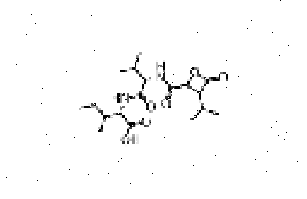 CC[C@H](C)[C@H](NC(=O)[C@@H](NC(=O)C1OC(=O)C1C(C)C)C(C)C)C(=O)O